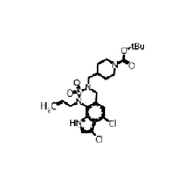 C=CCN1c2c(cc(Cl)c3c(Cl)c[nH]c23)CN(CC2CCN(C(=O)OC(C)(C)C)CC2)S1(=O)=O